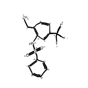 CCc1ccc(C(F)(F)F)cc1NS(=O)(=O)c1ccccc1